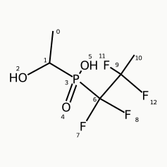 CC(O)P(=O)(O)C(F)(F)C(C)(F)F